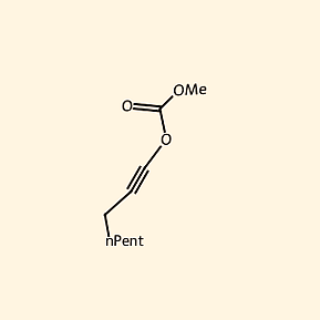 CCCCCCC#COC(=O)OC